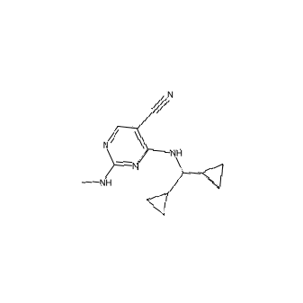 CNc1ncc(C#N)c(NC(C2CC2)C2CC2)n1